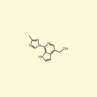 Cc1ncn(-c2ncc(CO)c3cc[nH]c23)n1